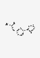 BrC(Br)=Cc1ccc(-c2cccs2)s1